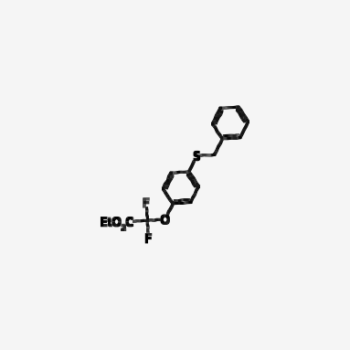 CCOC(=O)C(F)(F)Oc1ccc(SCc2ccccc2)cc1